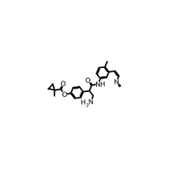 C=N/C=C\c1cc(NC(=O)C(CN)c2ccc(OC(=O)C3(C)CC3)cc2)ccc1C